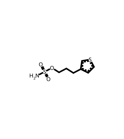 NS(=O)(=O)OCCCc1ccsc1